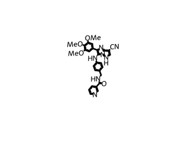 COc1cc(-c2nc3c(C#N)c[nH]n3c2Nc2ccc(CNC(=O)c3cccnc3)cc2)cc(OC)c1OC